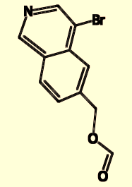 O=COCc1ccc2cncc(Br)c2c1